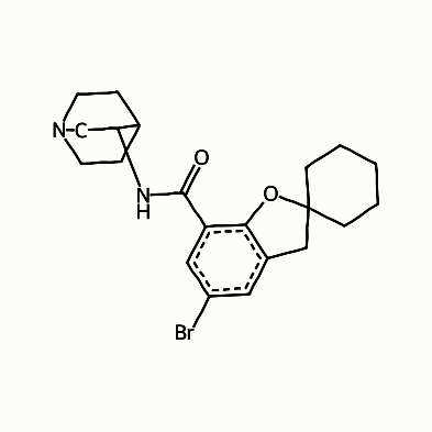 O=C(NC1CN2CCC1CC2)c1cc(Br)cc2c1OC1(CCCCC1)C2